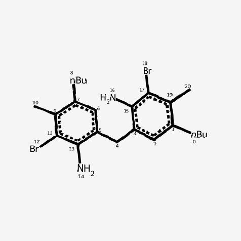 CCCCc1cc(Cc2cc(CCCC)c(C)c(Br)c2N)c(N)c(Br)c1C